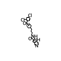 O=C(NCCCCC1CCN(C(=O)c2ccc(Cl)cc2Cl)CC1)c1cc2cnccc2[nH]1